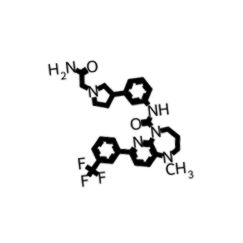 CN1CCCN(C(=O)Nc2cccc(C3CCN(CC(N)=O)C3)c2)c2nc(-c3cccc(C(F)(F)F)c3)ccc21